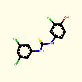 Oc1ccc(NC(=S)Nc2cc(Cl)cc(Cl)c2)cc1Cl